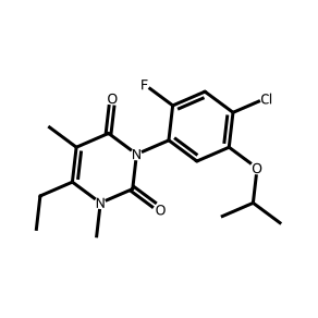 CCc1c(C)c(=O)n(-c2cc(OC(C)C)c(Cl)cc2F)c(=O)n1C